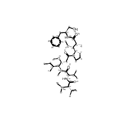 CC[C@H](C)[C@@H]([C@@H](CC(=O)N1CCC[C@H]1[C@H](OC)[C@@H](C)C(=O)N[C@H](CO)Cc1ccccc1)OC)N(C)C(=O)[C@@H](NC(=O)[C@H](C(C)C)N(C)C)C(C)C